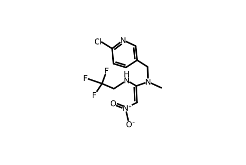 CN(Cc1ccc(Cl)nc1)C(=C[N+](=O)[O-])NCC(F)(F)F